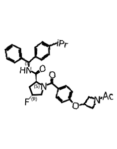 CC(=O)N1CC(Oc2ccc(C(=O)N3C[C@H](F)C[C@H]3C(=O)N[C@@H](c3ccccc3)c3ccc(C(C)C)cc3)cc2)C1